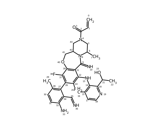 C=CC(=O)N1CC(C)N2C(=N)c3c(Nc4c(C)ccnc4C(C)O)c(F)c(-c4c(C)ccc(N)c4C=N)c(F)c3OCC2C1